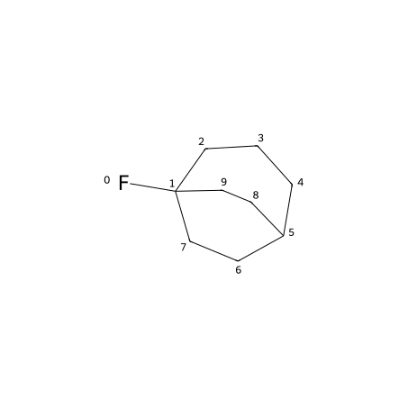 FC12CCCC(CC1)CC2